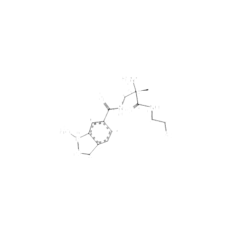 CC(=O)CCNC(=O)[C@@](C)(N)CNC(=O)c1ccc2c(c1)B(O)OC2